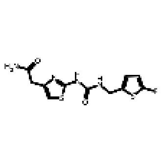 NC(=O)Cc1csc(NC(=O)NCc2ccc(F)s2)n1